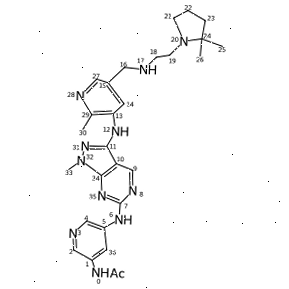 CC(=O)Nc1cncc(Nc2ncc3c(Nc4cc(CNCCN5CCCC5(C)C)cnc4C)nn(C)c3n2)c1